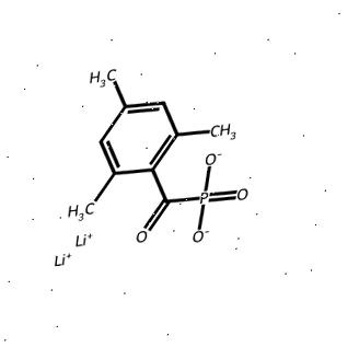 Cc1cc(C)c(C(=O)P(=O)([O-])[O-])c(C)c1.[Li+].[Li+]